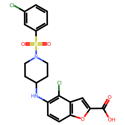 O=C(O)c1cc2c(Cl)c(NC3CCN(S(=O)(=O)c4cccc(Cl)c4)CC3)ccc2o1